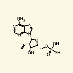 C=C[C@H]1[C@H](O)[C@@H](COP(=O)(O)S)O[C@H]1n1cnc2c(N)ncnc21